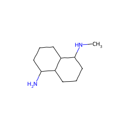 CNC1CCCC2C(N)CCCC12